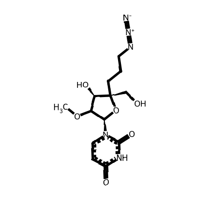 COC1[C@H](n2ccc(=O)[nH]c2=O)O[C@@](CO)(CCCN=[N+]=[N-])[C@@H]1O